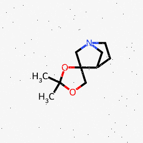 CC1(C)OCC2(CN3CCC2C3)O1